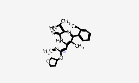 C=N/C(=C\C1=C(C)C(c2ccccc2Cl)=Nc2c(n[nH]c2C)N1)OC1CCOC1